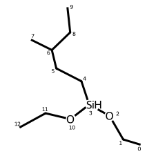 CCO[SiH](CCC(C)CC)OCC